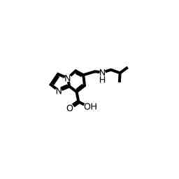 CC(C)CNCc1cc(C(=O)O)c2nccn2c1